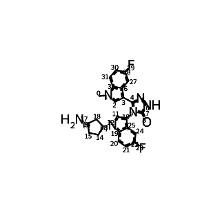 Cn1cc(-c2n[nH]c(=O)n2-c2cn([C@@H]3CC[C@H](N)C3)c3ccc(F)cc23)c2cc(F)ccc21